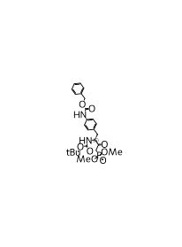 COP(=O)(CC(=O)[C@H](Cc1ccc(NC(=O)OCc2ccccc2)cc1)NC(=O)OC(C)(C)C)OC